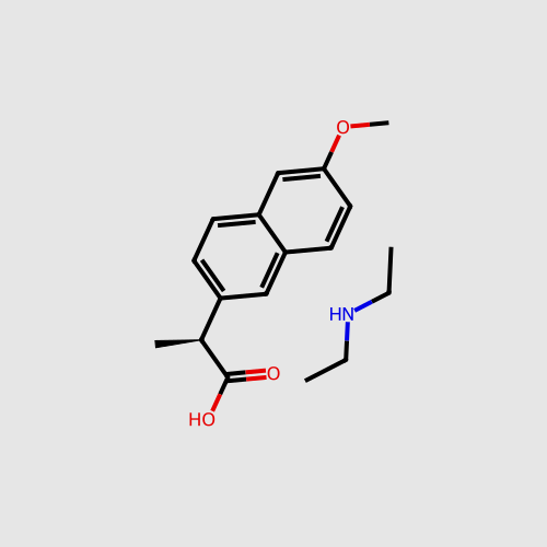 CCNCC.COc1ccc2cc([C@H](C)C(=O)O)ccc2c1